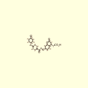 O=C(O)Cc1cc(=O)oc2cc(OCC(=O)N3CCN(Cc4ccc(Cl)cc4)CC3)ccc12